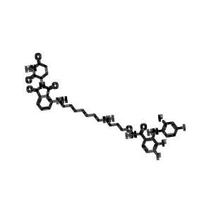 O=C1CCC(N2C(=O)c3cccc(NCCCCCCCNCCCONC(=O)c4ccc(F)c(F)c4Nc4ccc(I)cc4F)c3C2=O)C(=O)N1